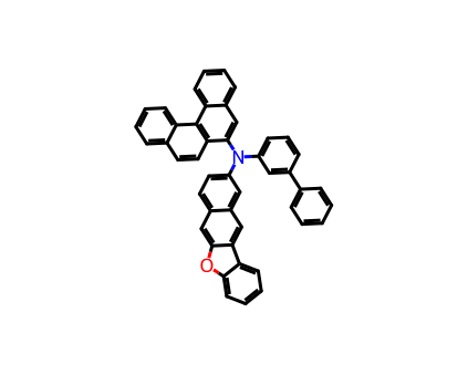 c1ccc(-c2cccc(N(c3ccc4cc5oc6ccccc6c5cc4c3)c3cc4ccccc4c4c3ccc3ccccc34)c2)cc1